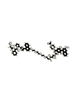 CN[C@@H](C)C(=O)N[C@H](C(=O)N1CCC[C@H]1c1nc(-c2ccc(OCCOCCOCCOCCN(C)C(=O)CCNc3nc(N4CCN(C(C)=O)CC4)c4cc(Cl)c(-c5cc(O)cc6ccccc56)c(F)c4n3)c3ccccc23)cs1)C1CCCCC1